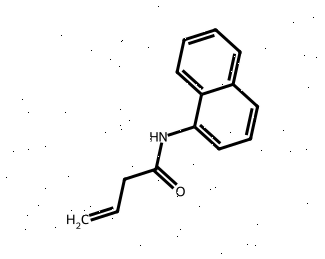 C=CCC(=O)Nc1cccc2ccccc12